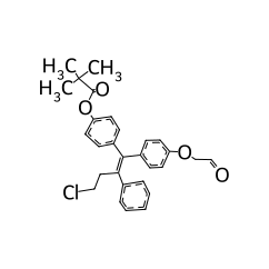 CC(C)(C)C(=O)Oc1ccc(/C(=C(\CCCl)c2ccccc2)c2ccc(OCC=O)cc2)cc1